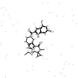 CCOCC1(N(C)C(=O)c2[nH]nc3c2CN(C(=O)c2cc4c(F)cc(F)cc4[nH]2)CC3)CC1